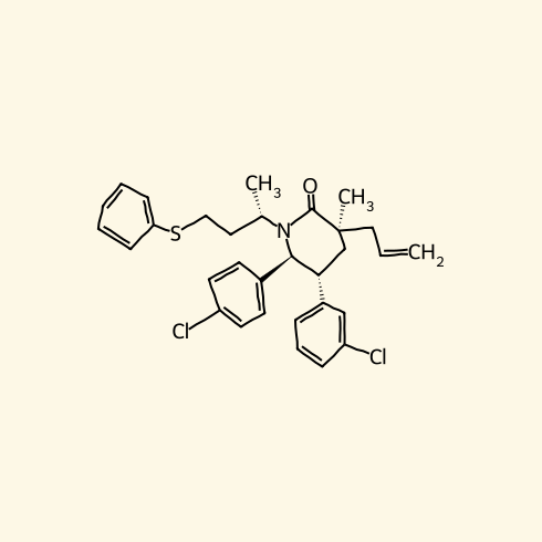 C=CC[C@@]1(C)C[C@H](c2cccc(Cl)c2)[C@@H](c2ccc(Cl)cc2)N([C@@H](C)CCSc2ccccc2)C1=O